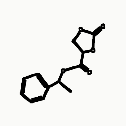 CC(OC(=O)C1COC(=O)O1)c1ccccc1